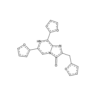 O=c1c(Cc2ccco2)nc2c(-c3ccco3)[nH]c(-c3ccco3)cn1-2